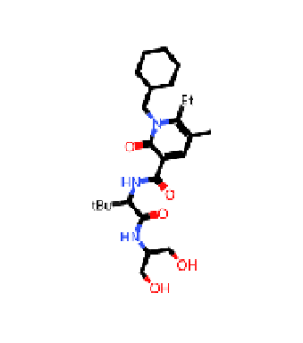 CCc1c(C)cc(C(=O)NC(C(=O)NC(CO)CO)C(C)(C)C)c(=O)n1CC1CCCCC1